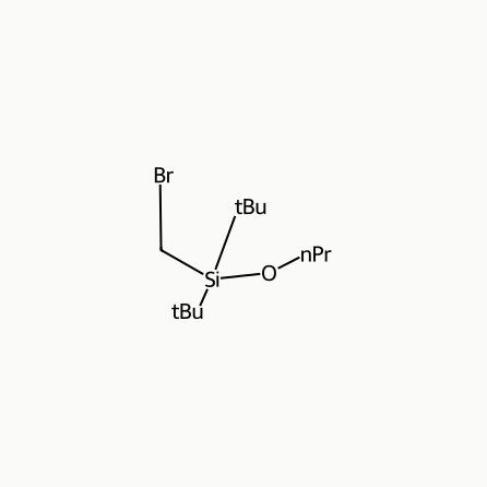 CCCO[Si](CBr)(C(C)(C)C)C(C)(C)C